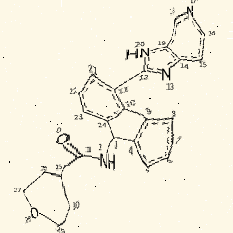 O=C(NC1c2ccccc2-c2c(-c3nc4ccncc4[nH]3)cccc21)C1CCOCC1